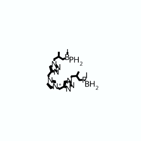 BP(I)CC(C)Cn1cc(C[n+]2ccn(Cc3cn(CC(C)CB(P)I)nn3)c2)nn1